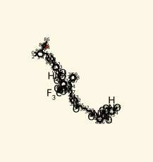 CC1(C)CCC(CN2CCN(c3ccc(C(=O)NS(=O)(=O)c4ccc(N[C@H](CCN5CCN(C(=O)CCCCCC(=O)Nc6cccc7c6C(=O)N(C6CCC(=O)NC6=O)C7=O)CC5)CSc5ccccc5)c(S(=O)(=O)C(F)(F)F)c4)cc3)CC2)=C(C23CC(C)(C2)C3)C1